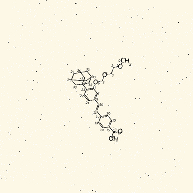 COCCOCOc1cc(/C=C/c2ccc(C(=O)O)cc2)ccc1C12CC3CC(CC(C3)C1)C2